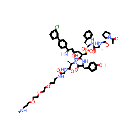 CNCCCOCCOCCOCCCNC(=O)CNC(=O)[C@@H](C)NC(=O)[C@H](Cc1ccc(O)cc1)NC(=O)C(C/C(O)=C/C(=N)c1ccc(-c2cccc(Cl)c2)cc1)CP(=O)(O)[C@H](Cc1ccccc1)NC(=O)[C@@H](C)NC(=O)[C@@H]1CCCN1C(C)=O